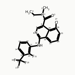 CCN(C)C(=O)c1cnc(Nc2cccc(C(F)(F)F)c2F)c2cccc(Cl)c12